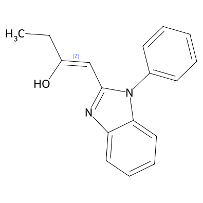 CC/C(O)=C/c1nc2ccccc2n1-c1ccccc1